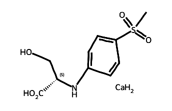 CS(=O)(=O)c1ccc(N[C@@H](CO)C(=O)O)cc1.[CaH2]